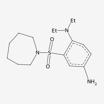 CCN(CC)c1ccc(N)cc1S(=O)(=O)N1CCCCCC1